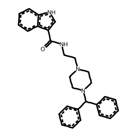 O=C(NCCN1CCN(C(c2ccccc2)c2ccccc2)CC1)c1c[nH]c2ccccc12